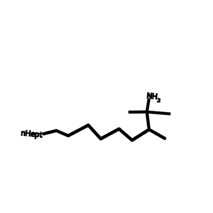 CCCCCCCCCCCCCC(C)C(C)(C)N